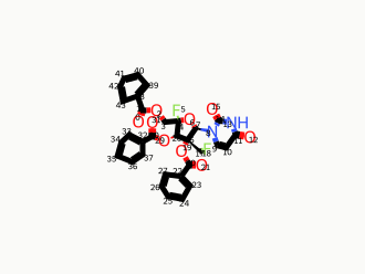 O=C(OC[C@@]1(F)O[C@@H](n2ccc(=O)[nH]c2=O)[C@](CF)(OC(=O)c2ccccc2)[C@@H]1OC(=O)c1ccccc1)c1ccccc1